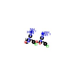 Nc1nnc(N2CCC(N3C[C@H](COc4cc(C[C@H]5CN6CCOC[C@H]6CN5C5CCN(c6nnc(N)[nH]6)CC5)ccc4Cl)OC[C@@H]3Cc3ccc(Cl)cc3)CC2)[nH]1